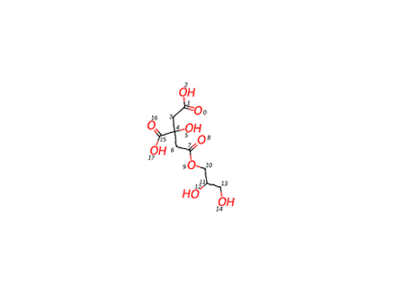 O=C(O)CC(O)(CC(=O)OCC(O)CO)C(=O)O